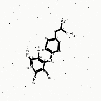 CC(=O)C(C)Cc1ccc(Oc2c(F)c(F)nc(F)c2F)cc1